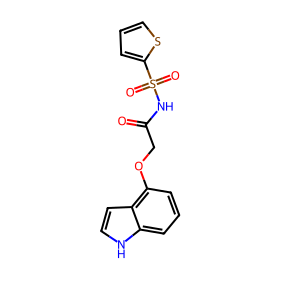 O=C(COc1cccc2[nH]ccc12)NS(=O)(=O)c1cccs1